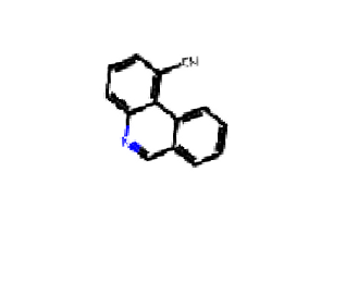 N#Cc1cccc2ncc3ccccc3c12